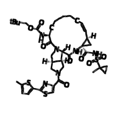 Cc1ccc(-c2nc(C(=O)N3C[C@H]4CN5C(=O)[C@@H](NC(=O)OCC(C)(C)C)CCCCC/C=C\[C@H]6C[C@@]6(C(=O)NS(=O)(=O)C6(C)CC6)NC(=O)[C@@H]5[C@H]4C3)cs2)s1